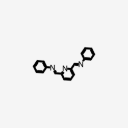 C(=Nc1ccccc1)c1cccc(C=Nc2ccccc2)n1